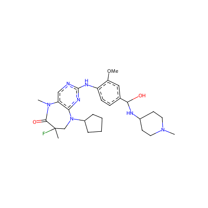 COc1cc(C(O)NC2CCN(C)CC2)ccc1Nc1ncc2c(n1)N(C1CCCC1)CC(C)(F)C(=O)N2C